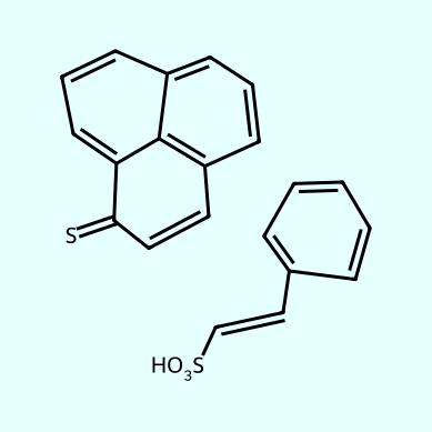 O=S(=O)(O)C=Cc1ccccc1.S=C1C=Cc2cccc3cccc1c23